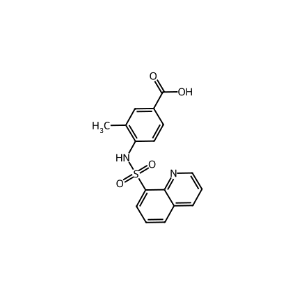 Cc1cc(C(=O)O)ccc1NS(=O)(=O)c1cccc2cccnc12